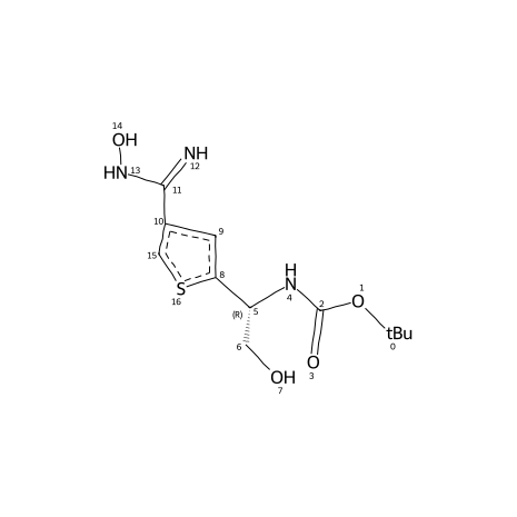 CC(C)(C)OC(=O)N[C@H](CO)c1cc(C(=N)NO)cs1